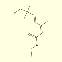 CCOC(=O)C=C(C)C=CC(C)(C)CI